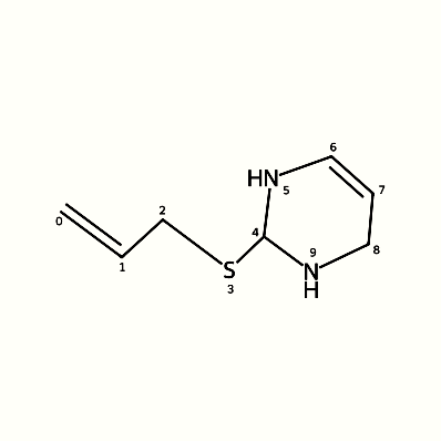 C=CCSC1NC=CCN1